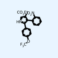 CCOC(=O)c1c[nH]c(-c2ccc(OC(F)(F)F)cc2)c1-c1ccccc1[N+](=O)[O-]